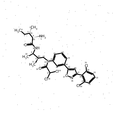 CC[C@H](C)[C@H](N)C(=O)NC(C)[C@H](C)CN(C(=O)C(Cl)Cl)c1cccc(-c2cc(-c3c(Cl)cccc3Cl)no2)c1